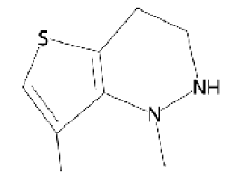 Cc1csc2c1N(C)NCC2